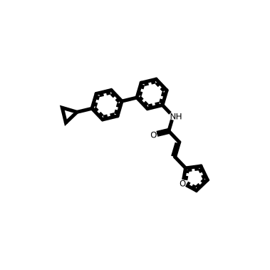 O=C(/C=C/c1ccco1)Nc1cccc(-c2ccc(C3CC3)cc2)c1